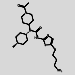 CC(=O)N1CCC(N(C(=O)Nc2ncc(SCCCN)s2)[C@H]2CC[C@H](C)CC2)CC1